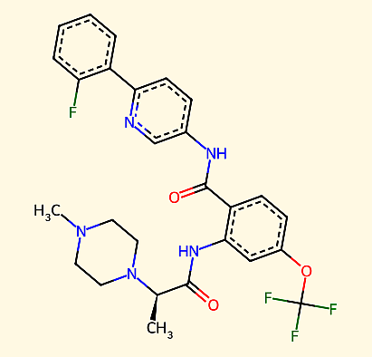 C[C@H](C(=O)Nc1cc(OC(F)(F)F)ccc1C(=O)Nc1ccc(-c2ccccc2F)nc1)N1CCN(C)CC1